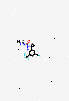 CNC(=O)NC1(c2cc(C(F)(F)F)cc(C(F)(F)F)c2)CC1